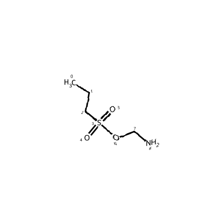 CCCS(=O)(=O)OCN